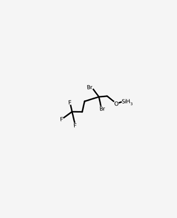 FC(F)(F)CCC(Br)(Br)CO[SiH3]